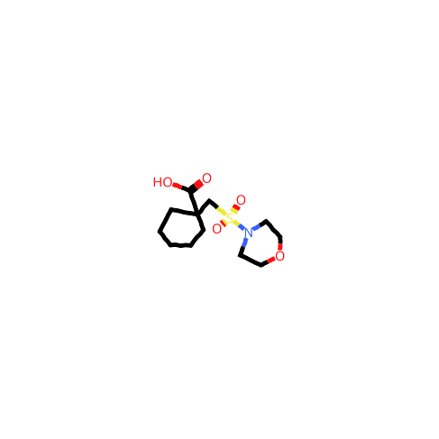 O=C(O)C1(CS(=O)(=O)N2CCOCC2)CCCCC1